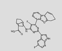 O=C(O)C1C2CCC(CC2)C1Nc1nc(-c2c[nH]c3ncc(F)cc23)nc(-c2cccc3c4c(oc23)CCC=C4)c1F